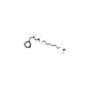 N=C(N)NCCCCCCNC(=O)CC([C]=O)Cc1ccccc1